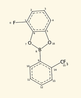 Fc1cccc2c1OB(c1ccccc1C(F)(F)F)O2